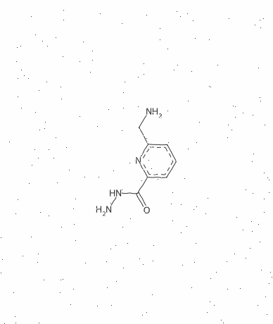 NCc1cccc(C(=O)NN)n1